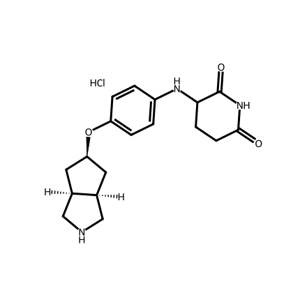 Cl.O=C1CCC(Nc2ccc(O[C@H]3C[C@H]4CNC[C@H]4C3)cc2)C(=O)N1